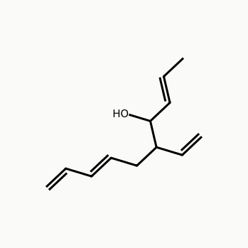 C=CC=CCC(C=C)C(O)C=CC